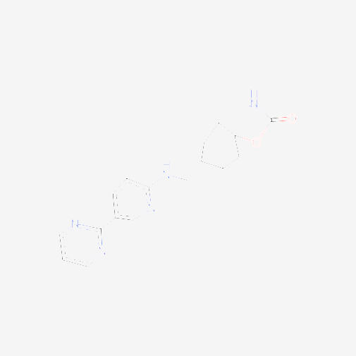 O=C1NC[C@]2(CC[C@@H](CNc3ccc(-c4ncccn4)cn3)CC2)O1